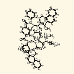 CN[C@@H](C)C(=O)N[C@H]1CN(C(=O)c2ccc(C(=O)N3C[C@H](NC(=O)[C@H](C)NC)C(=O)N(Cc4c(OC)ccc5ccccc45)c4ccccc43)cc2)c2ccccc2N(Cc2c(OC)ccc3ccccc23)C1=O.Cl.Cl